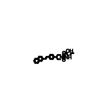 CCC[C@H](NS(=O)(=O)N1CCC(c2ccc(/C=C/c3ccc4ccccc4c3)cc2)CC1)C(=O)O